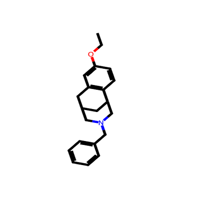 CCOc1ccc2c(c1)CC1CC2CN(Cc2ccccc2)C1